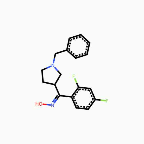 ON=C(c1ccc(F)cc1F)C1CCN(Cc2ccccc2)C1